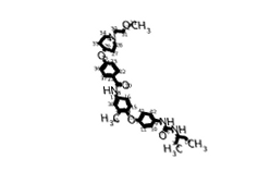 CCC(CC)NC(=O)Nc1ccc(Oc2ccc(NC(=O)c3ccc(OC4CCN(CCOC)CC4)cc3)cc2C)cc1